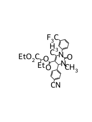 CCOC(=O)[C@H](CC)OC(=O)C1=C(C)N(c2cccc(C(F)(F)F)c2)C(=O)N(C)C1c1ccc(C#N)cc1